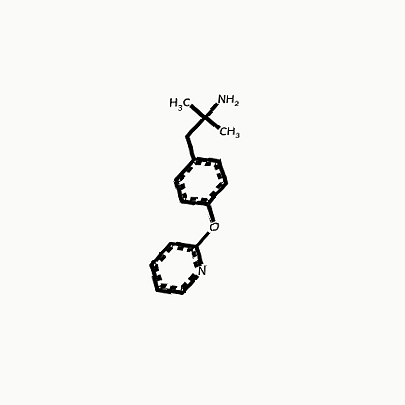 CC(C)(N)Cc1ccc(Oc2ccccn2)cc1